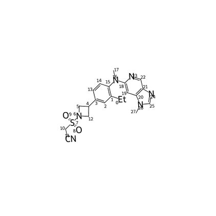 CCc1cc(C2CN(S(=O)(=O)CC#N)C2)ccc1N(C)c1cc2c(cn1)ncn2C